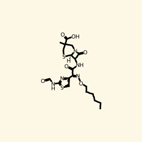 CCCCCCON=C(C(=O)NC1C(=O)N2CC(C)(C(=O)O)CS[C@H]12)c1csc(NC=O)n1